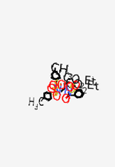 CCOC(=O)C(CC(CN(S(=O)(=O)c1ccc(C)cc1)S(=O)(=O)c1ccc(C)cc1)N1C(=O)c2ccccc2S1(=O)=O)C(=O)OCC